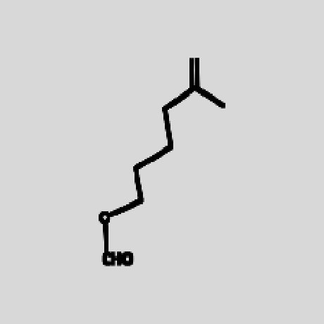 C=C(C)CCCCOC=O